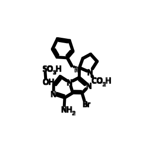 Nc1nccn2c([C@@]3(Cc4ccccc4)CCCN3C(=O)O)nc(Br)c12.O=S(=O)(O)O